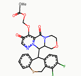 COC(=O)OCOc1c2n(ncc1=O)C(C1c3ccccc3SCc3c1ccc(F)c3F)C1COCCN1C2=O